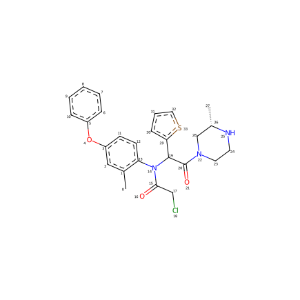 Cc1cc(Oc2ccccc2)ccc1N(C(=O)CCl)C(C(=O)N1CCN[C@@H](C)C1)c1cccs1